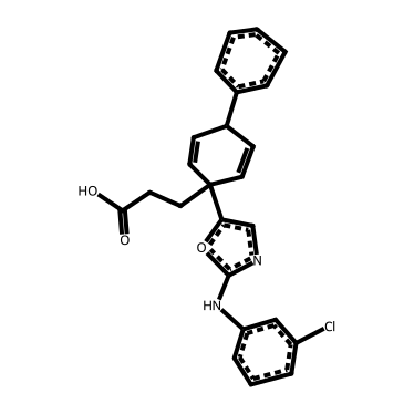 O=C(O)CCC1(c2cnc(Nc3cccc(Cl)c3)o2)C=CC(c2ccccc2)C=C1